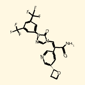 NC(=O)/C(=C/n1cnn(-c2cc(C(F)(F)F)cc(C(F)(F)F)c2)c1=O)c1cncc([C@H]2CCO2)c1